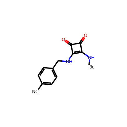 CCC(C)Nc1c(NCc2ccc(C#N)cc2)c(=O)c1=O